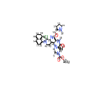 C[C@@H]1CN2c3c4c(nc(OC[C@@H]5CCCN5C)c3N(C)C(=O)[C@H]2CN1C(=O)OC(C)(C)C)CN(c1cccc2cccc(Cl)c12)CC4